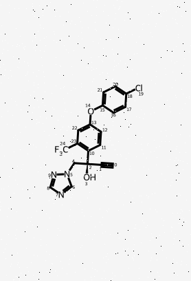 C#C[C@](O)(Cn1cncn1)c1ccc(Oc2ccc(Cl)cc2)cc1C(F)(F)F